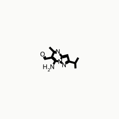 Cc1nc2cc(C(C)C)nn2c(N)c1C=O